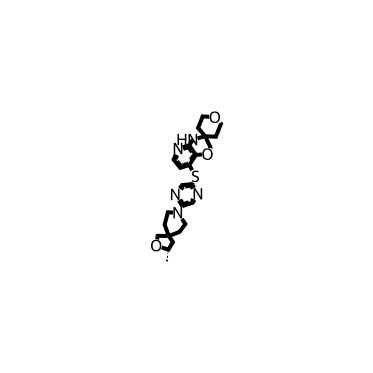 C[C@H]1CC2(CCN(c3cnc(Sc4ccnc5c4OCC4(CCOCC4)N5)cn3)CC2)CO1